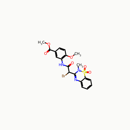 COC(=O)c1ccc(OC)c(NC(=O)C(Br)C2=Nc3ccccc3S(=O)(=O)N2C)c1